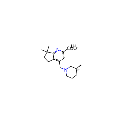 C[C@H]1CCCN(Cc2cc(C(=O)[O-])nc3c2CCC3(C)C)C1.[Li+]